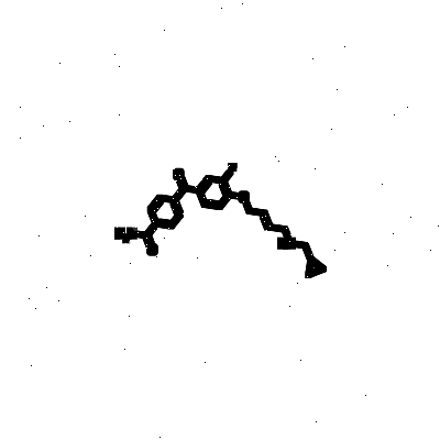 NC(=O)c1ccc(C(=O)c2ccc(OCC=CCNCC3CC3)c(F)c2)cc1